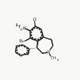 CN1CCc2cc(Cl)c(N)c(Br)c2[C@@H](c2ccccc2)C1